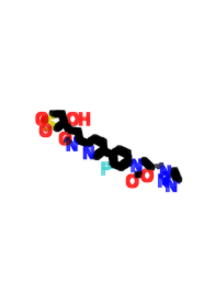 O=C1O[C@@H](Cn2ccnn2)CN1c1ccc(-c2ccc(C3=NOC(C4(O)CCS(=O)(=O)C4)C3)nc2)c(F)c1